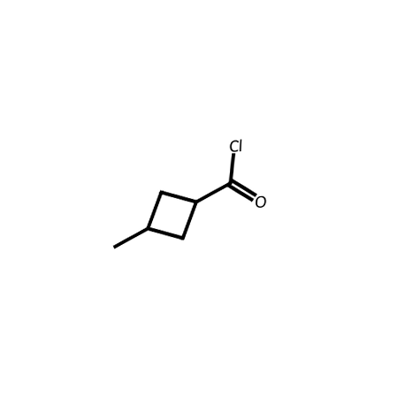 CC1CC(C(=O)Cl)C1